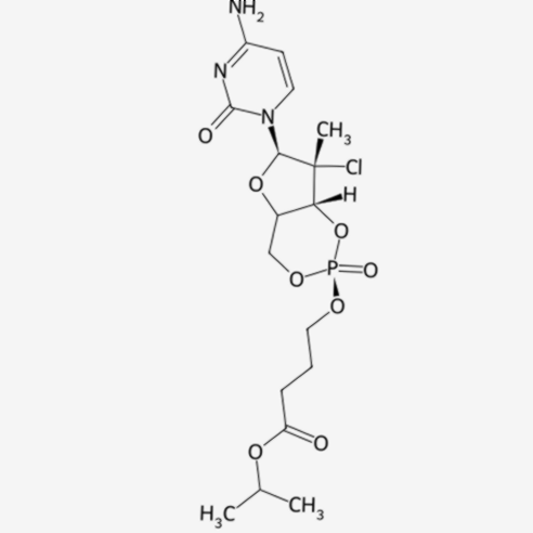 CC(C)OC(=O)CCCO[P@@]1(=O)OCC2O[C@@H](n3ccc(N)nc3=O)[C@](C)(Cl)[C@@H]2O1